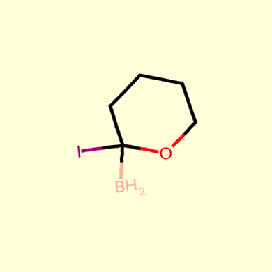 BC1(I)CCCCO1